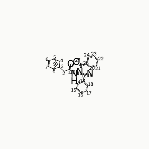 O=C(CC1CC2C=CC1C2)Nn1c(-c2ccccc2)nc2ccccc2c1=O